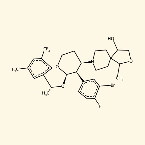 CC1OCC(O)C12CCN([C@@H]1CCO[C@H](O[C@H](C)c3cc(C(F)(F)F)cc(C(F)(F)F)c3)[C@@H]1c1ccc(F)c(Br)c1)CC2